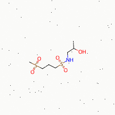 CC(O)CNS(=O)(=O)CCCS(C)(=O)=O